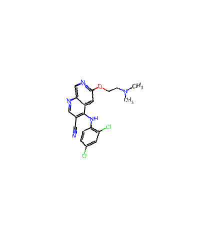 CN(C)CCOc1cc2c(Nc3ccc(Cl)cc3Cl)c(C#N)cnc2cn1